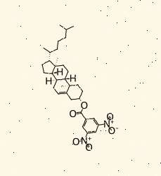 CC(C)CCCC(C)[C@H]1CC[C@H]2[C@@H]3CC=C4C[C@@H](OC(=O)c5cc([N+](=O)[O-])cc([N+](=O)[O-])c5)CC[C@]4(C)[C@H]3CC[C@]12C